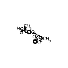 CCOC(Cc1ccc(OCCN(CCCC(C)C)C(=O)Nc2ccccc2Cl)cc1)C(=O)O